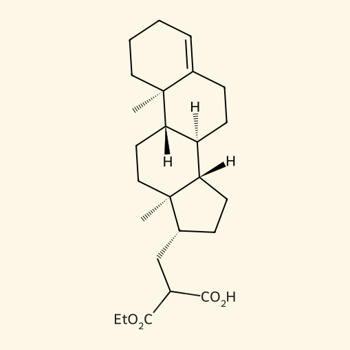 CCOC(=O)C(C[C@H]1CC[C@H]2[C@@H]3CCC4=CCCC[C@]4(C)[C@H]3CC[C@]12C)C(=O)O